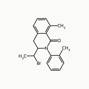 Cc1ccccc1N1C(=O)c2c(C)cccc2CC1C(C)Br